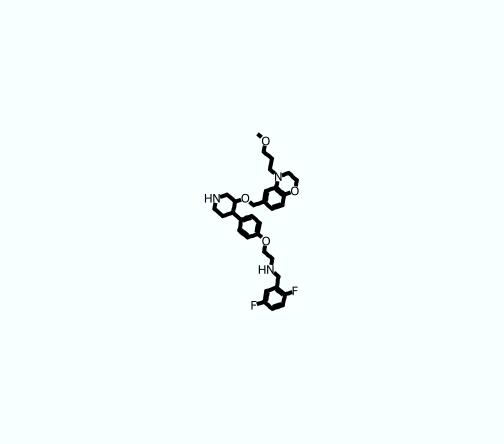 COCCCN1CCOc2ccc(COC3CNCCC3c3ccc(OCCNCc4cc(F)ccc4F)cc3)cc21